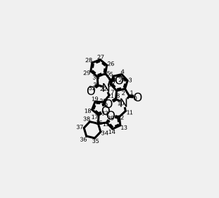 O=C1c2ccccc2C(=O)N1Cc1ccc(C2(c3ccc(CN4C(=O)c5ccccc5C4=O)o3)CCCCC2)o1